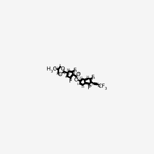 CC1COC(c2cc(F)c(C(=O)Oc3ccc4c(F)c(C#CC(F)(F)F)c(F)cc4c3)c(F)c2)OC1